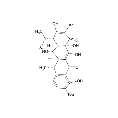 CC(=O)C1=C(O)[C@@H](N(C)C)[C@@H]2[C@@H](O)[C@H]3C(=C(O)[C@]2(O)C1=O)C(=O)c1c(ccc(C(C)(C)C)c1O)[C@@H]3C